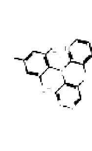 Cc1cc(C)c(N2c3cnncc3Oc3cccnc32)c(C)c1